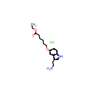 CCOC(=O)CCCCCOc1ccc2[nH]cc(CCN)c2c1.Cl